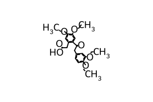 CCOc1ccc(CC(=O)c2cc(OCC)c(OCC)cc2CC(=O)O)cc1OCC